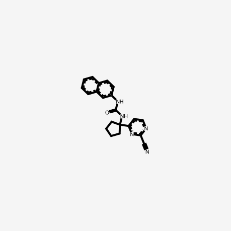 N#Cc1nccc(C2(NC(=O)Nc3ccc4ccccc4c3)CCCC2)n1